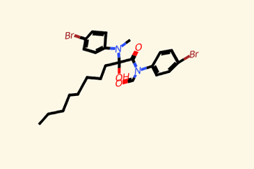 CCCCCCCCC(O)(C(=O)N(C=O)c1ccc(Br)cc1)N(C)c1ccc(Br)cc1